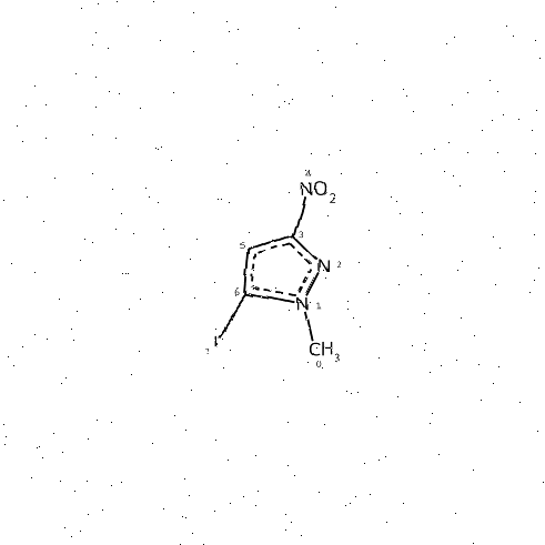 Cn1nc([N+](=O)[O-])cc1I